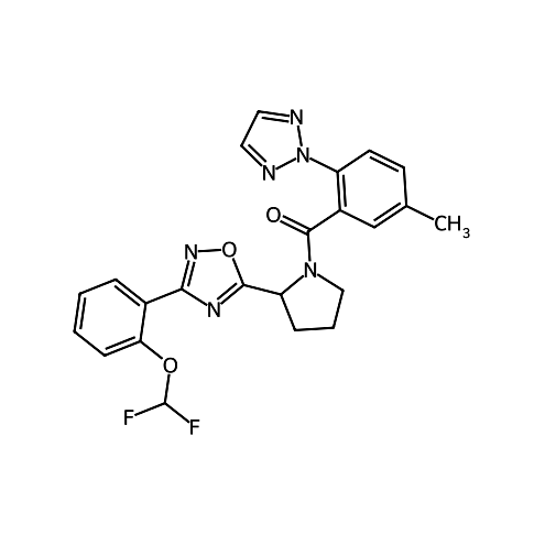 Cc1ccc(-n2nccn2)c(C(=O)N2CCCC2c2nc(-c3ccccc3OC(F)F)no2)c1